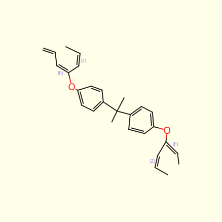 C=C/C=C(\C=C/C)Oc1ccc(C(C)(C)c2ccc(OC(/C=C\C)=C/C)cc2)cc1